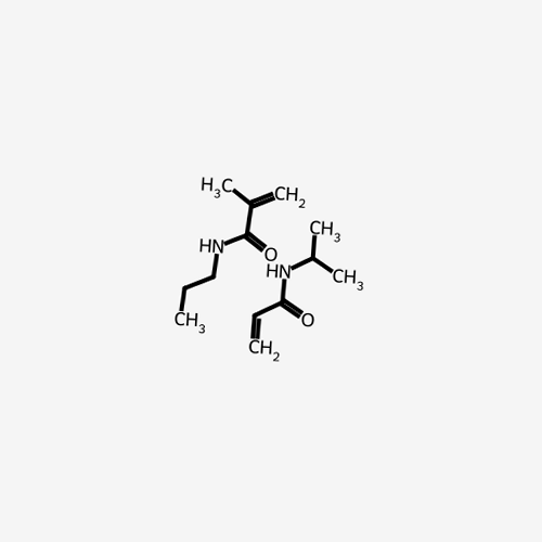 C=C(C)C(=O)NCCC.C=CC(=O)NC(C)C